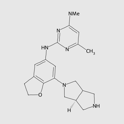 CNc1cc(C)nc(Nc2cc3c(c(N4CC5CNC[C@H]5C4)c2)OCC3)n1